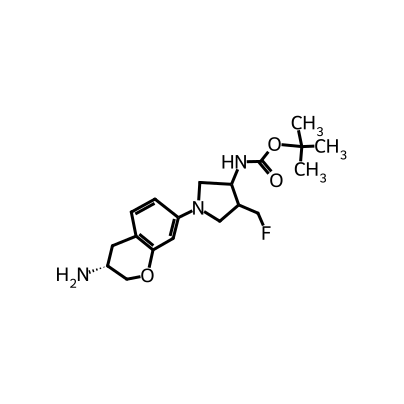 CC(C)(C)OC(=O)NC1CN(c2ccc3c(c2)OC[C@H](N)C3)CC1CF